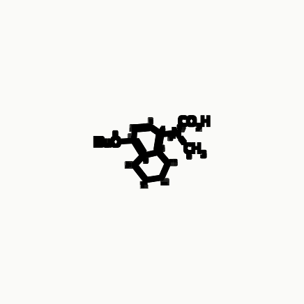 CC(C)COc1ccc(N(C)C(=O)O)c2c1CCCC2